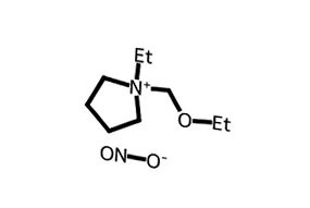 CCOC[N+]1(CC)CCCC1.O=N[O-]